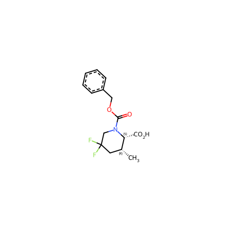 C[C@@H]1CC(F)(F)CN(C(=O)OCc2ccccc2)[C@@H]1C(=O)O